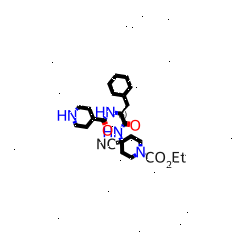 CCOC(=O)N1CCC(C#N)(NC(=O)[C@H](CC2CCCCC2)NC(=O)C2CCNCC2)CC1